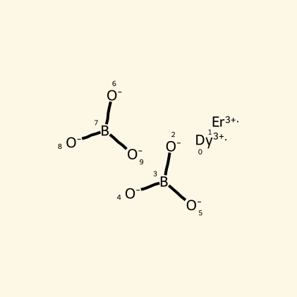 [Dy+3].[Er+3].[O-]B([O-])[O-].[O-]B([O-])[O-]